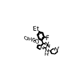 CCc1cc(F)c(-c2nnc(N[C@@H]3CCCN(C)C3)n3cccc23)c(OC=O)c1